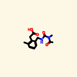 CC(=O)N(C)C(=O)NCc1cccc(C)c1CC(=O)O